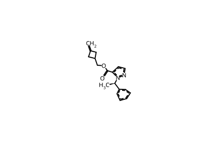 C=C1CC(COC(=O)c2ccnn2[C@H](C)c2ccccc2)C1